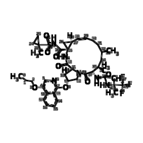 CCCOc1cnc(O[C@@H]2C[C@H]3C(=O)N[C@]4(C(=O)NS(=O)(=O)C5(C)CC5)C[C@H]4/C=C\CC[C@@H](C)C[C@@H](C)[C@H](NC(=O)NC(C)(C)C(F)(F)F)C(=O)N3C2)c2ccccc12